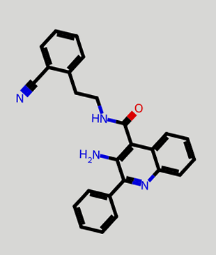 N#Cc1ccccc1CCNC(=O)c1c(N)c(-c2ccccc2)nc2ccccc12